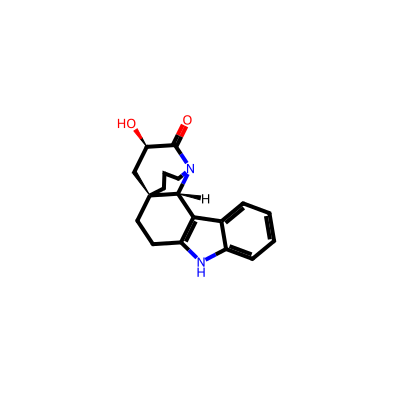 O=C1[C@H](O)C[C@@]23CCCN1[C@@H]2c1c([nH]c2ccccc12)CC3